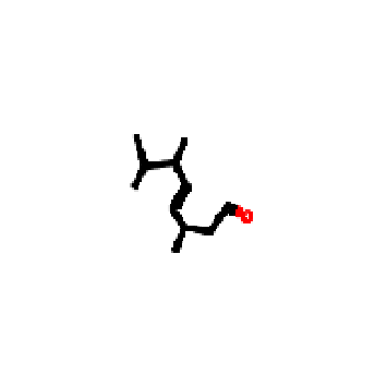 CC(C=CC(C)C(C)C)CC=O